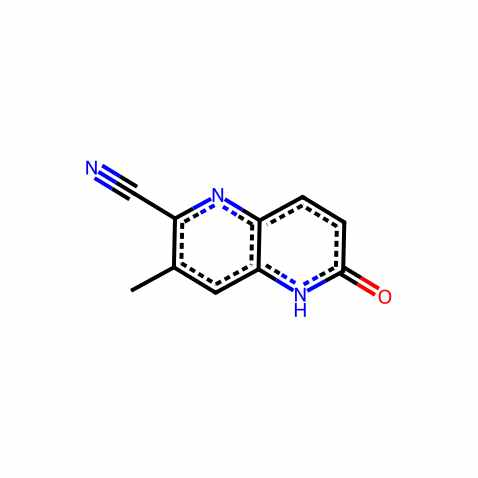 Cc1cc2[nH]c(=O)ccc2nc1C#N